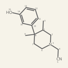 CC1CN(CC#N)CCC1(C)c1cccc(O)c1